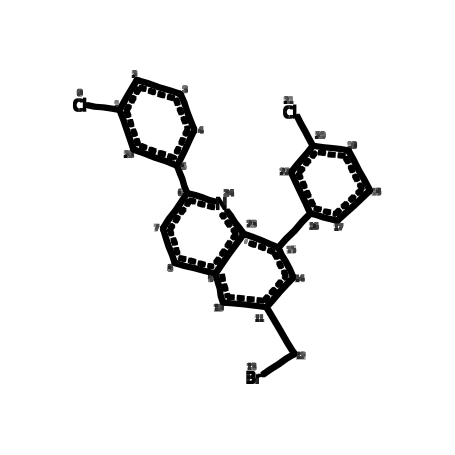 Clc1cccc(-c2ccc3cc(CBr)cc(-c4cccc(Cl)c4)c3n2)c1